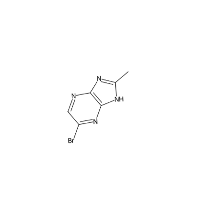 Cc1nc2ncc(Br)nc2[nH]1